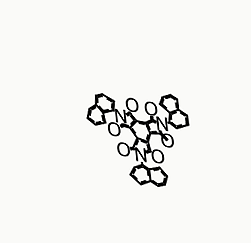 O=c1c2c3c(=O)n(-c4cccc5ccccc45)c(=O)c3c3c(=O)n(-c4cccc5ccccc45)c(=O)c3c2c(=O)n1-c1cccc2ccccc12